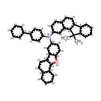 CC1(C)c2ccccc2-c2ccc3ccc(N(c4ccc(-c5ccccc5)cc4)c4ccc5oc6c7ccccc7ccc6c5c4)cc3c21